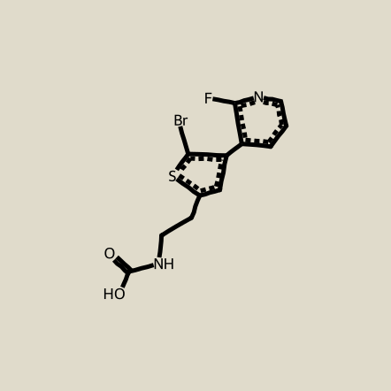 O=C(O)NCCc1cc(-c2cccnc2F)c(Br)s1